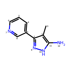 Cc1c(-c2cccnc2)n[nH]c1N